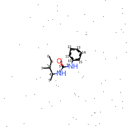 CCC(C)C(C)NC(=O)Nc1ccccc1